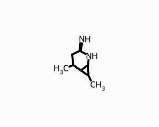 CC1CC(=N)NC2C(C)C12